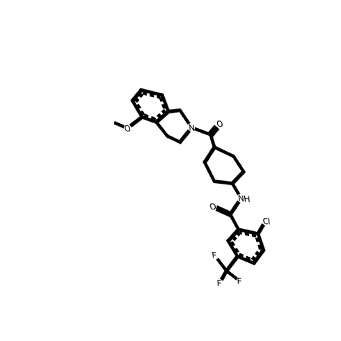 COc1cccc2c1CCN(C(=O)C1CCC(NC(=O)c3cc(C(F)(F)F)ccc3Cl)CC1)C2